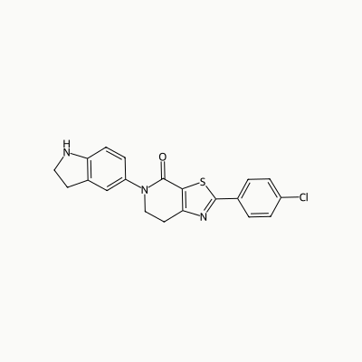 O=C1c2sc(-c3ccc(Cl)cc3)nc2CCN1c1ccc2c(c1)CCN2